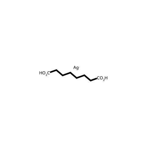 O=C(O)CCCCCCC(=O)O.[Ag]